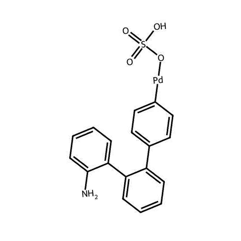 Nc1ccccc1-c1ccccc1-c1cc[c]([Pd][O]S(=O)(=O)O)cc1